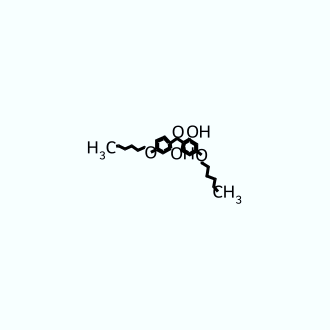 CCCCCCOc1ccc(C(=O)c2ccc(OCCCCCC)cc2O)c(O)c1